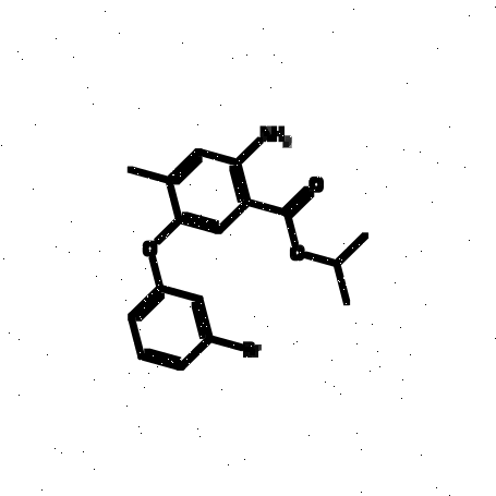 Cc1cc(N)c(C(=O)OC(C)C)cc1Oc1cccc(Br)c1